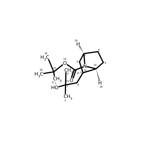 CC(C)(O)CC1C[C@H]2CC[C@@H]1N2C(=O)OC(C)(C)C